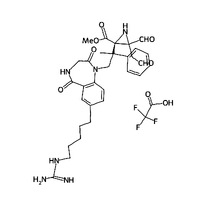 COC(=O)[C@]1(C(C)(CN2C(=O)CNC(=O)c3cc(CCCCCNC(=N)N)ccc32)c2ccccc2)NC1(C=O)CC=O.O=C(O)C(F)(F)F